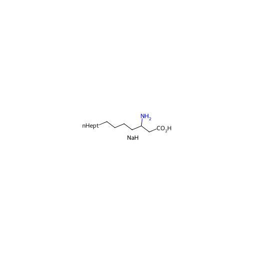 CCCCCCCCCCCC(N)CC(=O)O.[NaH]